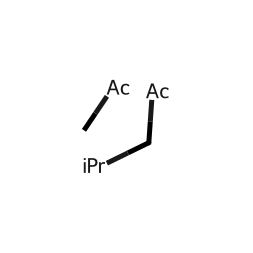 CC(=O)CC(C)C.CC(C)=O